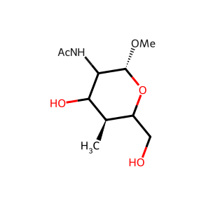 CO[C@@H]1OC(CO)[C@@H](C)C(O)C1NC(C)=O